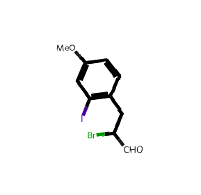 COc1ccc(CC(Br)C=O)c(I)c1